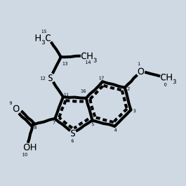 COc1ccc2sc(C(=O)O)c(SC(C)C)c2c1